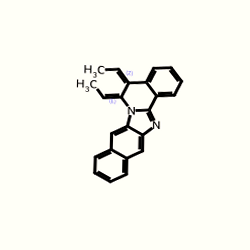 C/C=c1\c(=C/C)n2c3cc4ccccc4cc3nc2c2ccccc12